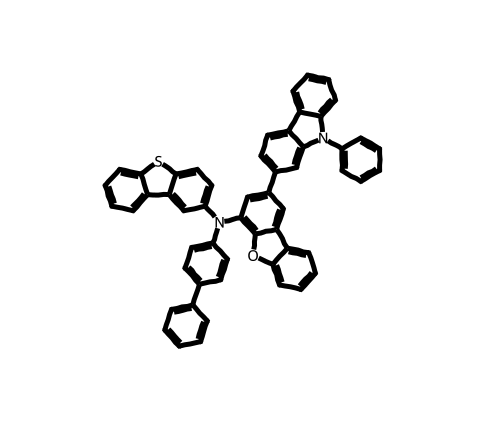 c1ccc(-c2ccc(N(c3ccc4sc5ccccc5c4c3)c3cc(-c4ccc5c6ccccc6n(-c6ccccc6)c5c4)cc4c3oc3ccccc34)cc2)cc1